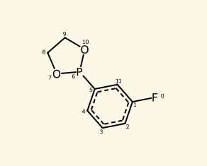 Fc1cccc(P2OCCO2)c1